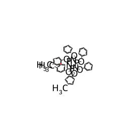 Cc1ccc(OP2N=P(Oc3ccc(C)cc3)(Oc3ccc(C)cc3)N(Oc3ccccc3)P(Oc3ccccc3)N2Oc2ccccc2)cc1